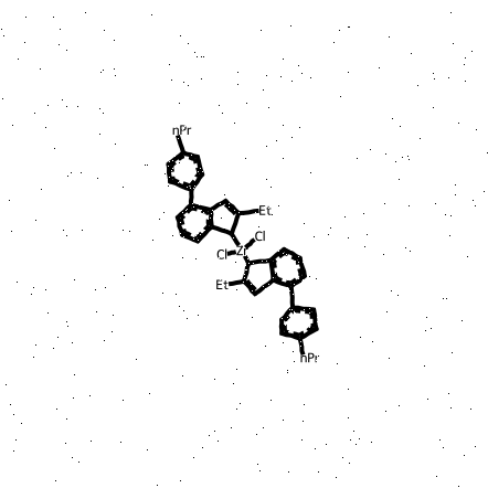 CCCc1ccc(-c2cccc3c2C=C(CC)[CH]3[Zr]([Cl])([Cl])[CH]2C(CC)=Cc3c(-c4ccc(CCC)cc4)cccc32)cc1